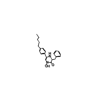 CCCCCc1ccc(C2=CN(O)C(=O)C(Cc3ccccc3)N2)cc1